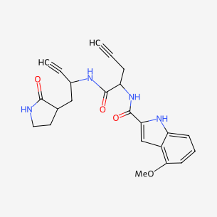 C#CCC(NC(=O)c1cc2c(OC)cccc2[nH]1)C(=O)NC(C#C)CC1CCNC1=O